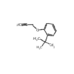 C#CCOc1ccccc1C(C)(C)C